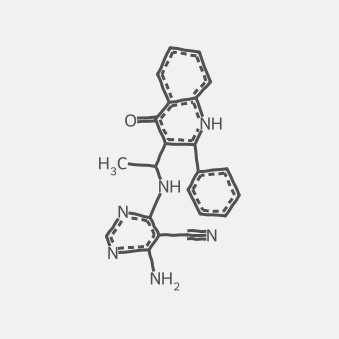 CC(Nc1ncnc(N)c1C#N)c1c(-c2ccccc2)[nH]c2ccccc2c1=O